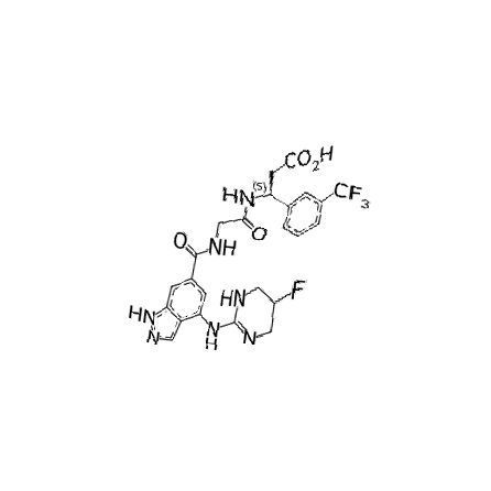 O=C(O)C[C@H](NC(=O)CNC(=O)c1cc(NC2=NCC(F)CN2)c2cn[nH]c2c1)c1cccc(C(F)(F)F)c1